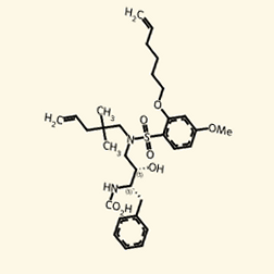 C=CCCCCOc1cc(OC)ccc1S(=O)(=O)N(C[C@H](O)[C@H](Cc1ccccc1)NC(=O)O)CC(C)(C)CC=C